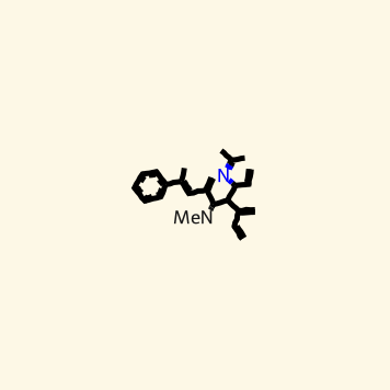 C=CC(=C)C(C(C=C)N=C(C)C)C(NC)C(=C)/C=C(\C)c1ccccc1